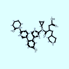 O=C(O)CC(CC1CCOCC1)C(=O)N(c1nc(-c2cc(Cl)ccc2-c2ccc(N3CCCCC3=O)nc2)cs1)C1CC1